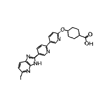 O=C(O)C1CCC(Oc2ccc(-c3ccc(-c4nc5ccc(I)nc5[nH]4)cn3)cn2)CC1